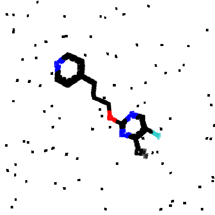 Cc1nc(OCCCc2ccncc2)ncc1F